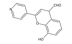 O=CC1C=C(c2ccncc2)Oc2c(O)cccc21